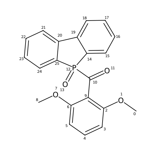 COc1cccc(OC)c1C(=O)P1(=O)c2ccccc2-c2ccccc21